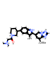 COc1cc(-c2[nH]c3ccc(C4CCCN(C(=O)CN(C)C)C4)cc3c2C(C)C)cn2ncnc12